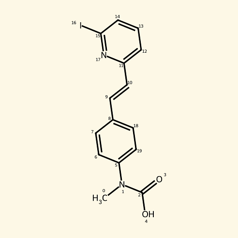 CN(C(=O)O)c1ccc(/C=C/c2cccc(I)n2)cc1